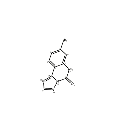 CC(C)c1ccc2c(c1)[nH]c(=O)n1ncnc21